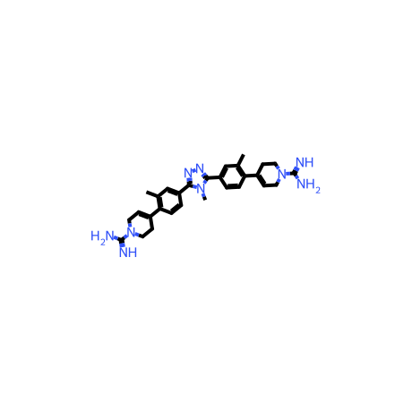 Cc1cc(-c2nnc(-c3ccc(C4=CCN(C(=N)N)CC4)c(C)c3)n2C)ccc1C1=CCN(C(=N)N)CC1